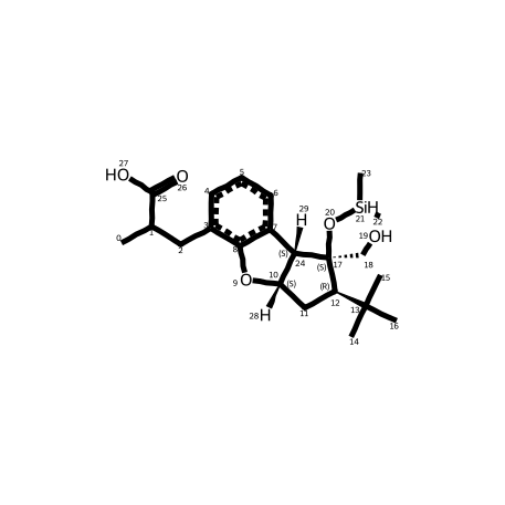 CC(Cc1cccc2c1O[C@H]1C[C@H](C(C)(C)C)[C@](CO)(O[SiH](C)C)[C@@H]21)C(=O)O